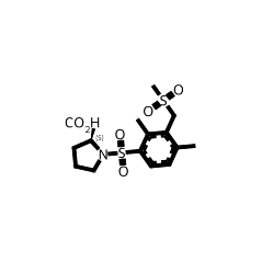 Cc1ccc(S(=O)(=O)N2CCC[C@H]2C(=O)O)c(C)c1CS(C)(=O)=O